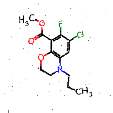 CCCN1CCOc2c1cc(Cl)c(F)c2C(=O)OC